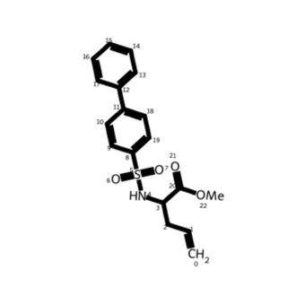 C=CCC(NS(=O)(=O)c1ccc(-c2ccccc2)cc1)C(=O)OC